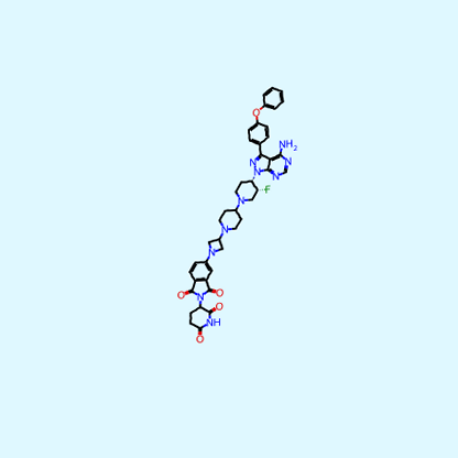 Nc1ncnc2c1c(-c1ccc(Oc3ccccc3)cc1)nn2[C@H]1CCN(C2CCN(C3CN(c4ccc5c(c4)C(=O)N(C4CCC(=O)NC4=O)C5=O)C3)CC2)C[C@H]1F